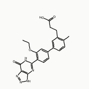 CCOc1cc(-c2ccc(C)c(CCC(=O)O)c2)ccc1-c1nc2[nH]nnc2c(=O)[nH]1